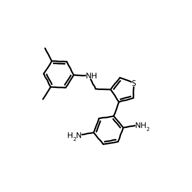 Cc1cc(C)cc(NCc2cscc2-c2cc(N)ccc2N)c1